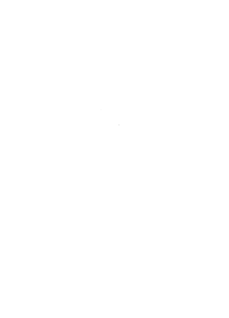 CC(C)(C)OC(=O)c1ccc(Cc2cc(C(=O)O)nc3c2OCC3)cc1F